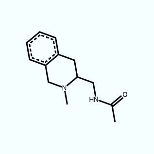 CC(=O)NCC1Cc2ccccc2CN1C